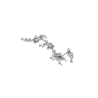 COc1ccc(C2=CN3C(=O)c4cc(OC)c(OCCCOc5cc6c(cc5OC)C(=O)N5C=C(c7ccc(NC(=O)[C@H](C)NC(=O)[C@@H](NC(=O)CCCCCN8C(=O)C=C(Oc9ccc(C#N)cc9)C8=O)C(C)C)cc7)C[C@H]5C=N6)cc4N=C[C@@H]3C2)cc1